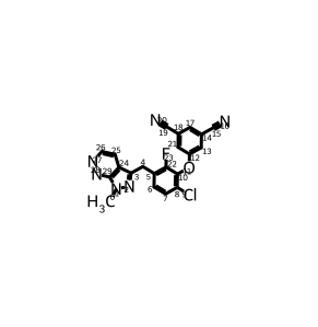 Cn1nc(Cc2ccc(Cl)c(Oc3cc(C#N)cc(C#N)c3)c2F)c2ccnnc21